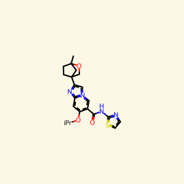 CC(C)Oc1cc2nc(C34CCC(C)(C3)OC4)cn2cc1C(=O)Nc1nccs1